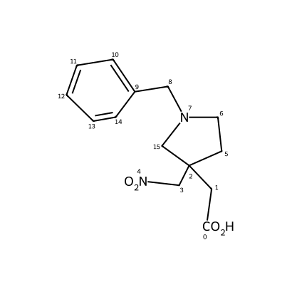 O=C(O)CC1(C[N+](=O)[O-])CCN(Cc2ccccc2)C1